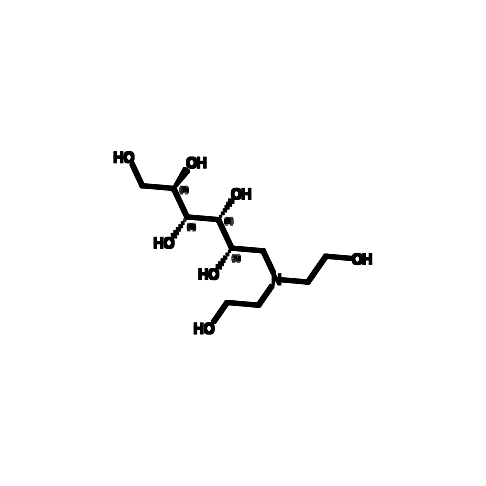 OCCN(CCO)C[C@H](O)[C@@H](O)[C@H](O)[C@H](O)CO